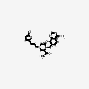 NC(=O)C1CN(C/C=C/c2ccc(Cl)s2)CC(=O)N1Cc1ccc2c(N)ncnc2c1